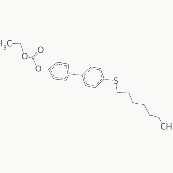 CCCCCCCSc1ccc(-c2ccc(OC(=O)OCC)cc2)cc1